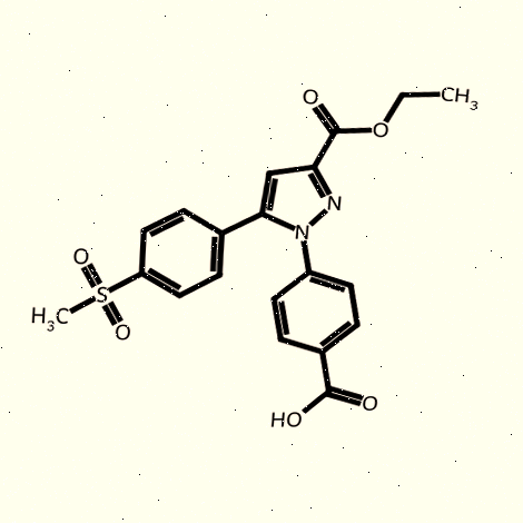 CCOC(=O)c1cc(-c2ccc(S(C)(=O)=O)cc2)n(-c2ccc(C(=O)O)cc2)n1